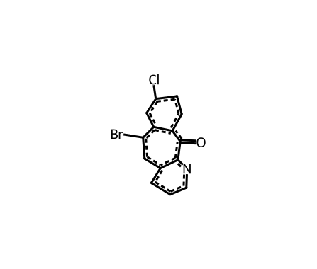 O=c1c2ccc(Cl)cc2c(Br)cc2cccnc12